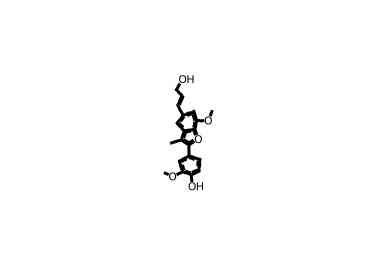 COc1cc(-c2oc3c(OC)cc(C=CCO)cc3c2C)ccc1O